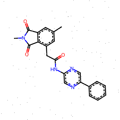 Cc1cc(CC(=O)Nc2cnc(-c3ccccc3)cn2)c2c(c1)C(=O)N(C)C2=O